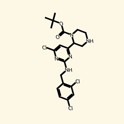 CC(C)(C)OC(=O)N1CCNCC1c1cc(Cl)nc(NCc2ccc(Cl)cc2Cl)n1